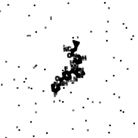 N#CC(=CC1CC1)C(=O)N1C[C@@H]2C[C@@H]1[C@@H](n1nc(-c3ccc(C(=O)Nc4cc(F)ccn4)cc3F)c3c(N)ncnc31)C2